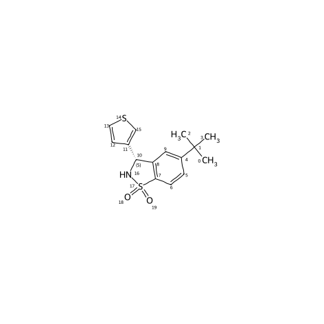 CC(C)(C)c1ccc2c(c1)[C@@H](c1ccsc1)NS2(=O)=O